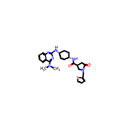 CN(C)c1nc(N[C@H]2CC[C@@H](NC(=O)C3CC(=O)N(Cc4cccs4)C3)CC2)nc2ccccc12